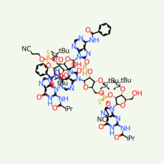 CC(C)C(=O)Nc1nc2c(ncn2[C@@H]2O[C@H](CO)[C@@H](O[Si](C)(C)C(C)(C)C)[C@H]2OP(=S)(OCCC#N)OC[C@H]2O[C@@H](n3cnc4c(NC(=O)c5ccccc5)ncnc43)[C@H](O[PH](=O)O[C@@H]3[C@H](O[Si](C)(C)C(C)(C)C)[C@@H](COP(=S)(OCCC#N)O[C@@H]4[C@H](O[Si](C)(C)C(C)(C)C)[C@@H](CO)O[C@H]4n4cnc5c(=O)[nH]c(NC(=O)C(C)C)nc54)O[C@H]3n3cnc4c(NC(=O)c5ccccc5)ncnc43)[C@@H]2O[Si](C)(C)C(C)(C)C)c(=O)[nH]1